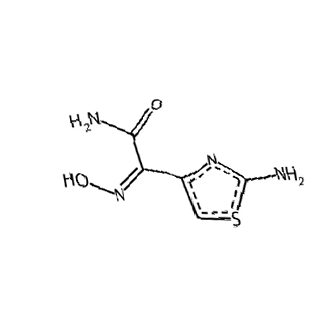 NC(=O)/C(=N\O)c1csc(N)n1